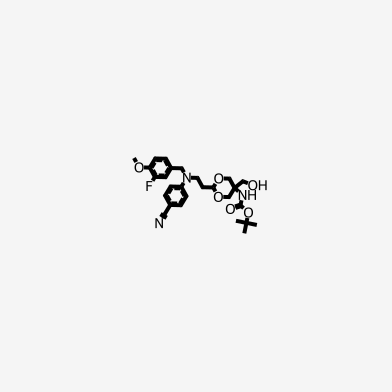 COc1ccc(CN(CCC2OCC(CO)(NC(=O)OC(C)(C)C)CO2)c2ccc(C#N)cc2)cc1F